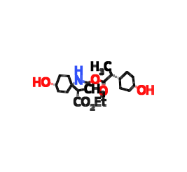 CCOC(=O)C(C)[C@]1(NCOC(=O)C(C)[C@H]2CC[C@@H](O)CC2)CC[C@@H](O)CC1